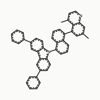 Cc1cc(-c2cccc3c(-n4c5ccc(-c6ccccc6)cc5c5cc(-c6ccccc6)ccc54)cccc23)c2c(C)ccnc2c1